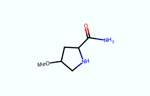 COC1CNC(C(N)=O)C1